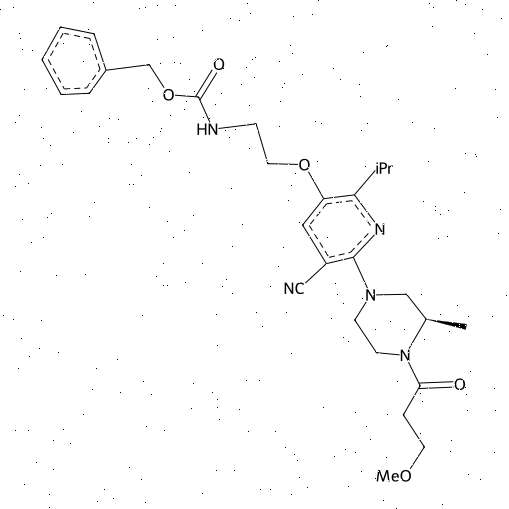 COCCC(=O)N1CCN(c2nc(C(C)C)c(OCCNC(=O)OCc3ccccc3)cc2C#N)C[C@H]1C